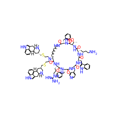 C[C@@H](O)[C@@H]1NC(=O)[C@H](CCCCN)NC(=O)[C@@H](Cc2c[nH]c3ccccc23)NC(=O)[C@H](Cc2ccncc2)NC(=O)[C@H](Cc2ccccc2)NC(=O)[C@H](CCCNC(=N)N)NC(=O)[C@H](N(CCSC[C@@H]2C[C@@H]3c4cccc5[nH]cc(c45)C[C@H]3N(C)C2)CCSC[C@@H]2C[C@@H]3c4cccc5[nH]cc(c45)C[C@H]3N(C)C2)CCCCNC(=O)[C@H](Cc2ccccc2)NC1=O